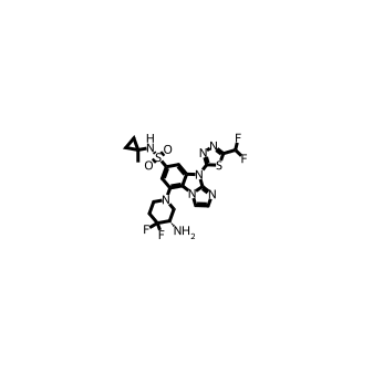 CC1(NS(=O)(=O)c2cc(N3CCC(F)(F)[C@@H](N)C3)c3c(c2)n(-c2nnc(C(F)F)s2)c2nccn32)CC1